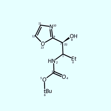 CCC(NC(=O)OC(C)(C)C)[C@H](O)c1ncco1